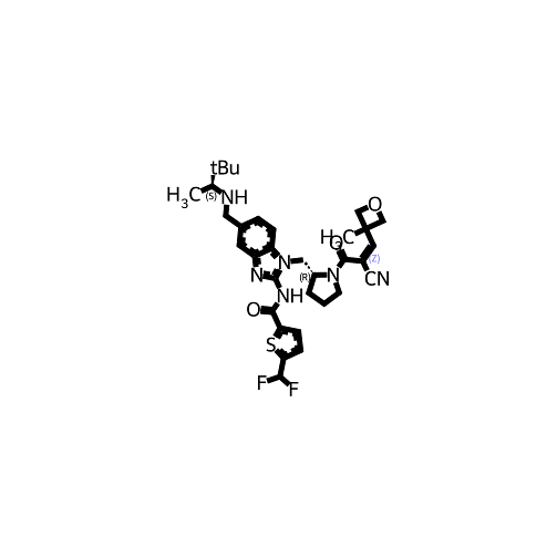 C[C@H](NCc1ccc2c(c1)nc(NC(=O)c1ccc(C(F)F)s1)n2C[C@H]1CCCN1C(=O)/C(C#N)=C\C1(C)COC1)C(C)(C)C